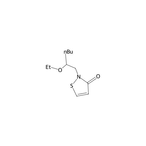 CCCCC(Cn1sccc1=O)OCC